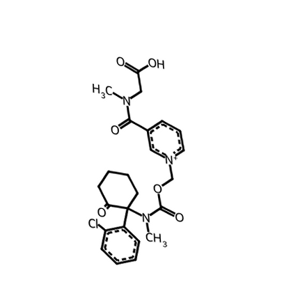 CN(CC(=O)O)C(=O)c1ccc[n+](COC(=O)N(C)C2(c3ccccc3Cl)CCCCC2=O)c1